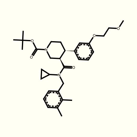 COCCOc1cccc([C@H]2CCN(C(=O)OC(C)(C)C)C[C@@H]2C(=O)N(Cc2cccc(C)c2C)C2CC2)c1